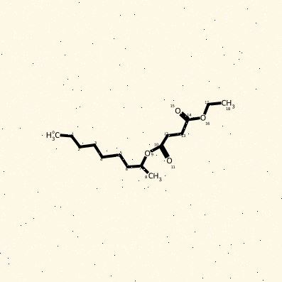 CCCCCCCC(C)OC(=O)CCC(=O)OCC